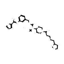 CC(C)(C)N(C(=O)OCc1cccc(N=C(N)c2cccs2)c1)C1CCN(C(=O)CCCCC2CCSS2)CC1